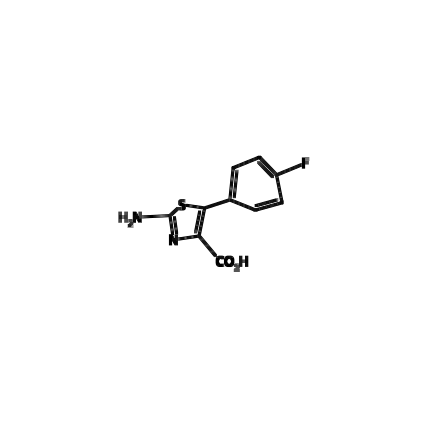 Nc1nc(C(=O)O)c(-c2ccc(F)cc2)s1